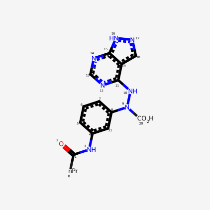 CCCC(=O)Nc1cccc(N(Nc2ncnc3[nH]ncc23)C(=O)O)c1